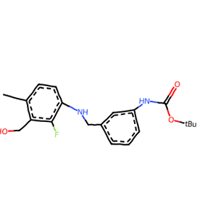 Cc1ccc(NCc2cccc(NC(=O)OC(C)(C)C)c2)c(F)c1CO